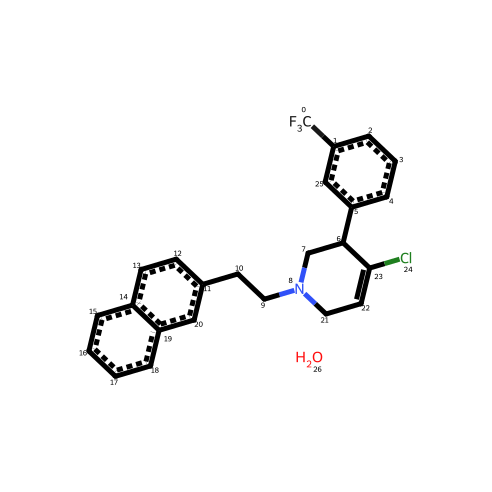 FC(F)(F)c1cccc(C2CN(CCc3ccc4ccccc4c3)CC=C2Cl)c1.O